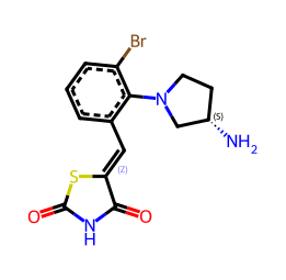 N[C@H]1CCN(c2c(Br)cccc2/C=C2\SC(=O)NC2=O)C1